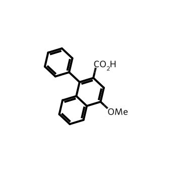 COc1cc(C(=O)O)c(-c2ccccc2)c2ccccc12